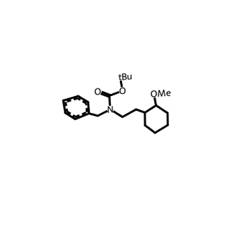 COC1CCCCC1CCN(Cc1ccccc1)C(=O)OC(C)(C)C